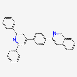 c1ccc(-c2cc(-c3ccc(-c4cc5ccccc5cn4)cc3)cc(-c3ccccc3)n2)cc1